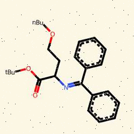 CCCCOCCC(N=C(c1ccccc1)c1ccccc1)C(=O)OC(C)(C)C